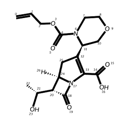 C=CCOC(=O)N1CCOC[C@H]1C1=C(C(=O)O)N2C(=O)[C@H]([C@@H](C)O)[C@H]2C1